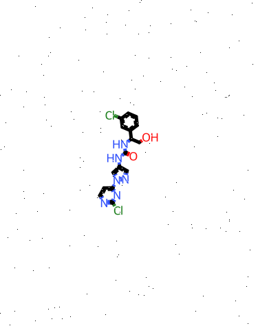 O=C(Nc1cnn(-c2ccnc(Cl)n2)c1)NC(CO)c1cccc(Cl)c1